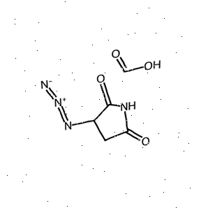 O=CO.[N-]=[N+]=NC1CC(=O)NC1=O